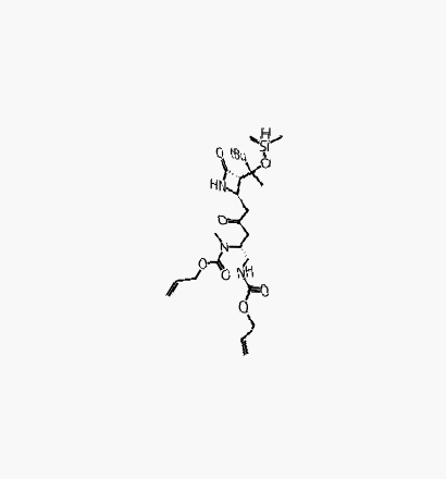 C=CCOC(=O)NC[C@@H](CC(=O)C[C@H]1NC(=O)[C@@H]1[C@@](C)(O[SiH](C)C)C(C)(C)C)N(C)C(=O)OCC=C